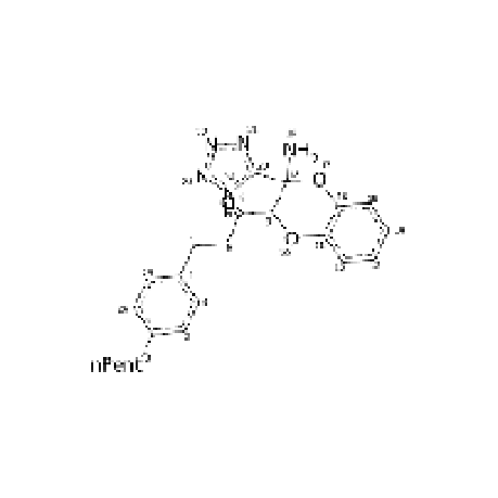 CCCCCc1ccc(CCC(=O)C2Oc3ccccc3OC2(N)c2nnn[nH]2)cc1